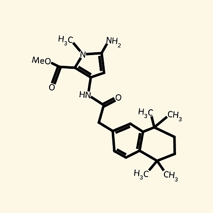 COC(=O)c1c(NC(=O)Cc2ccc3c(c2)C(C)(C)CCC3(C)C)cc(N)n1C